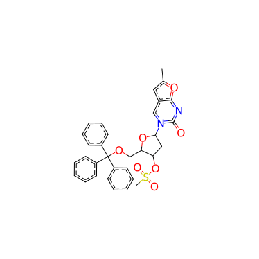 Cc1cc2cn(C3CC(OS(C)(=O)=O)C(COC(c4ccccc4)(c4ccccc4)c4ccccc4)O3)c(=O)nc2o1